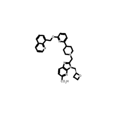 O=C(O)c1ccc2nc(CN3CCC(c4cccc(OCc5cccc6cccnc56)n4)CC3)n(C[C@@H]3CCO3)c2n1